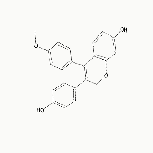 COc1ccc(C2=C(c3ccc(O)cc3)COc3cc(O)ccc32)cc1